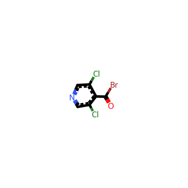 O=C(Br)c1c(Cl)cncc1Cl